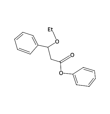 CCOC(CC(=O)Oc1ccccc1)c1ccccc1